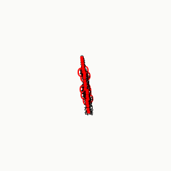 CCCCCCCCCOC(=O)CCC(=O)OCCCCCCOC(=O)OCOC(=O)CCC(=O)OCCCCCCCCC